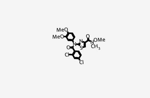 COc1ccc(N(C(=O)c2ccc(Cl)cc2Cl)c2nc(C(=O)N(C)OC)cs2)cc1OC